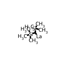 C[Si](C)(C)[CH]([La])[Si](C)(C)C